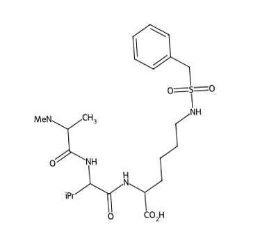 CNC(C)C(=O)NC(C(=O)NC(CCCCNS(=O)(=O)Cc1ccccc1)C(=O)O)C(C)C